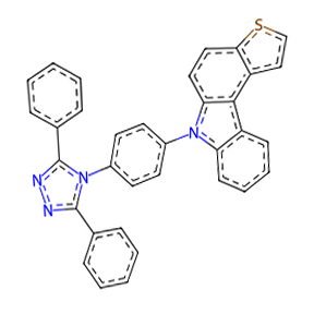 c1ccc(-c2nnc(-c3ccccc3)n2-c2ccc(-n3c4ccccc4c4c5ccsc5ccc43)cc2)cc1